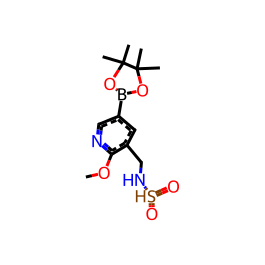 COc1ncc(B2OC(C)(C)C(C)(C)O2)cc1CN[SH](=O)=O